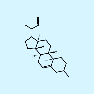 C=CC(C)[C@H]1CC[C@H]2[C@@H]3CC=C4CC(C)CC[C@]4(C)[C@H]3CC[C@]12C